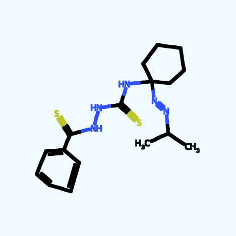 CC(C)N=NC1(NC(=S)NNC(=S)c2ccccc2)CCCCC1